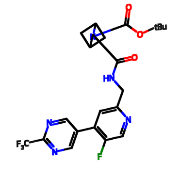 CC(C)(C)OC(=O)N1C2CC(C2)C1C(=O)NCc1cc(-c2cnc(C(F)(F)F)nc2)c(F)cn1